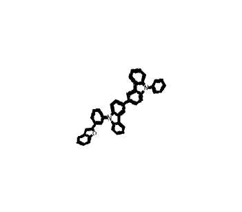 c1ccc(-n2c3ccccc3c3cc(-c4ccc5c(c4)c4ccccc4n5-c4cccc(-c5cc6ccccc6o5)c4)ccc32)cc1